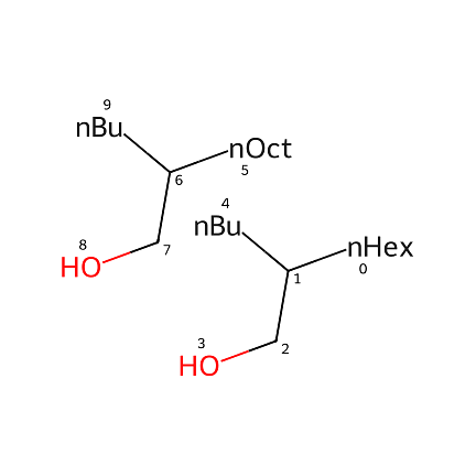 CCCCCCC(CO)CCCC.CCCCCCCCC(CO)CCCC